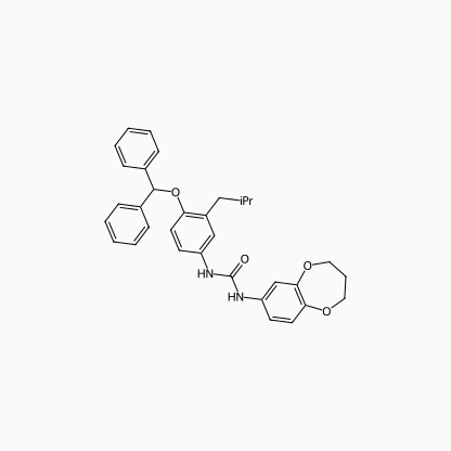 CC(C)Cc1cc(NC(=O)Nc2ccc3c(c2)OCCCO3)ccc1OC(c1ccccc1)c1ccccc1